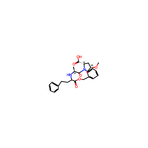 CO[C@@H]1C[C@@H](C(=O)O)N(C(=O)[C@H](C)NC(CCc2ccccc2)C(=O)OCc2ccccc2)C1